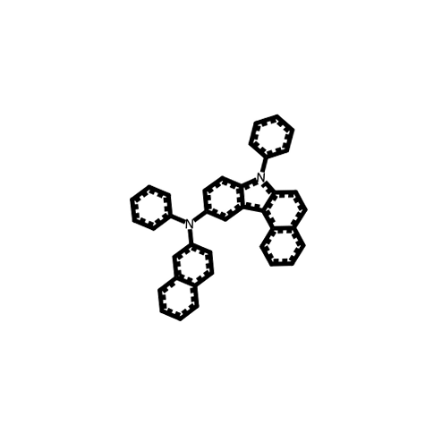 c1ccc(N(c2ccc3ccccc3c2)c2ccc3c(c2)c2c4ccccc4ccc2n3-c2ccccc2)cc1